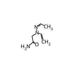 C=CN(CC(N)=O)/N=C\C